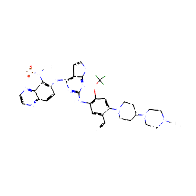 C=Cc1cc(Nc2nc(Nc3ccc4nccnc4c3N(C)S(C)(=O)=O)c3cc[nH]c3n2)c(OC(F)(F)F)cc1N1CCC(N2CCN(C)CC2)CC1